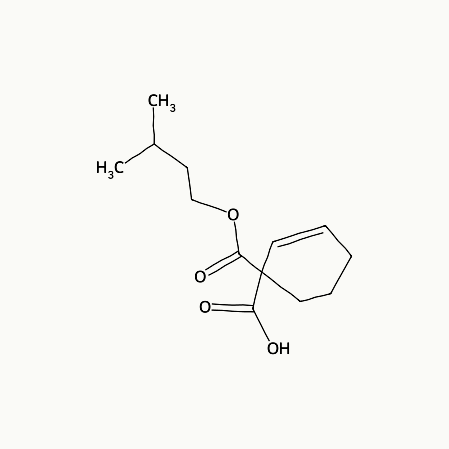 CC(C)CCOC(=O)C1(C(=O)O)C=CCCC1